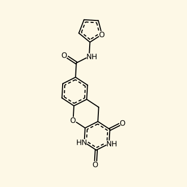 O=C(Nc1ccco1)c1ccc2c(c1)Cc1c([nH]c(=O)[nH]c1=O)O2